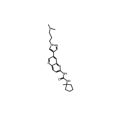 CN(C)CCCn1cc(-c2cnc3ccc(NC(=O)NC4(C)CCCC4)nc3c2)cn1